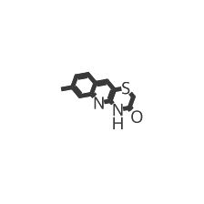 Cc1ccc2cc3c(nc2c1)NC(=O)CS3